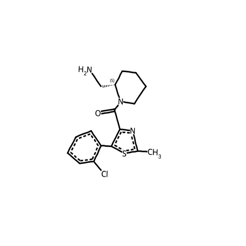 Cc1nc(C(=O)N2CCCC[C@H]2CN)c(-c2ccccc2Cl)s1